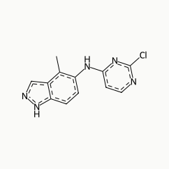 Cc1c(Nc2ccnc(Cl)n2)ccc2[nH]ncc12